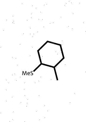 CSC1CCCCC1C